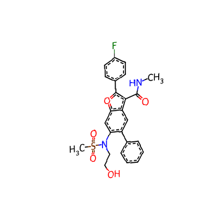 CNC(=O)c1c(-c2ccc(F)cc2)oc2cc(N(CCO)S(C)(=O)=O)c(-c3ccccc3)cc12